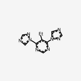 CCc1c(-n2cncn2)ncnc1-n1cncn1